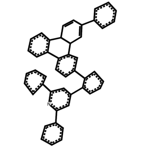 C1=CC2c3ccccc3-c3ccc(-c4ccccc4-c4cc(-c5ccccc5)nc(-c5ccccc5)c4)cc3C2C=C1c1ccccc1